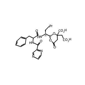 CC(C)C[C@H](NC(=O)C(Cc1ccccc1)NC(=O)c1cnccn1)B1OC(=O)CC(CC(=O)O)(C(=O)O)O1